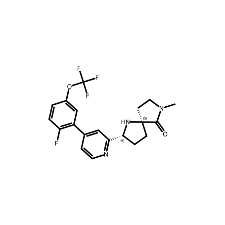 CN1CC[C@@]2(CC[C@H](c3cc(-c4cc(OC(F)(F)F)ccc4F)ccn3)N2)C1=O